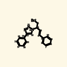 BrCC(C=Cc1ccccc1)n1cc(-c2ccccc2)nn1